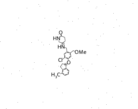 COCc1cc(O[C@H]2CCc3c(C)cccc32)c(Cl)cc1CN[C@H]1CCC(=O)NC1